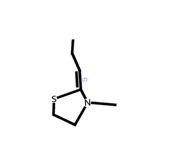 CC/C=C1\SCCN1C